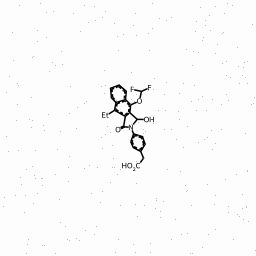 CCc1c2c(c(OC(F)F)c3ccccc13)C(O)N(c1ccc(CC(=O)O)cc1)C2=O